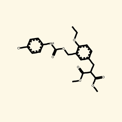 CCOc1ccc(CC(C(=O)OC)C(=O)OC)cc1COC(=O)Nc1ccc(Cl)cc1